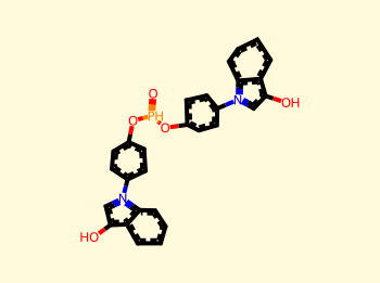 O=[PH](Oc1ccc(-n2cc(O)c3ccccc32)cc1)Oc1ccc(-n2cc(O)c3ccccc32)cc1